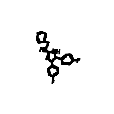 Fc1ccc(C2N=C(NCc3ccccc3)NC2c2ccc(F)cc2)cc1